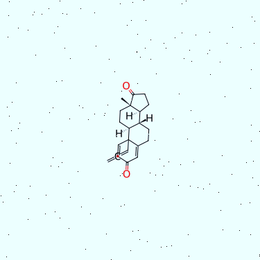 C=C=CC12C=CC(=O)C=C1CC[C@@H]1[C@@H]2CC[C@]2(C)C(=O)CC[C@@H]12